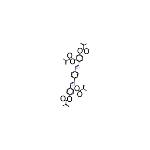 C=C(C)C(=O)Oc1ccc(/C=C/c2ccc(/C=C/c3ccc(OC(=O)C(=C)C)cc3OC(=O)C(=C)C)cc2)c(OC(=O)C(=C)C)c1